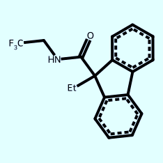 [CH2]CC1(C(=O)NCC(F)(F)F)c2ccccc2-c2ccccc21